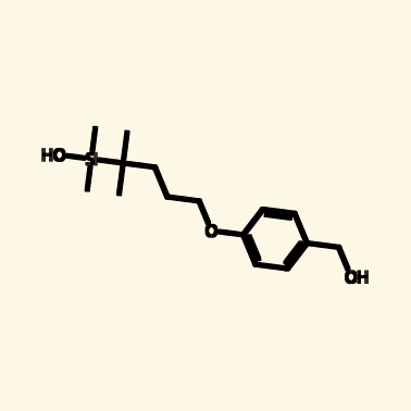 CC(C)(CCCOc1ccc(CO)cc1)[Si](C)(C)O